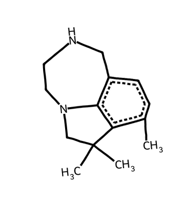 Cc1ccc2c3c1C(C)(C)CN3CCNC2